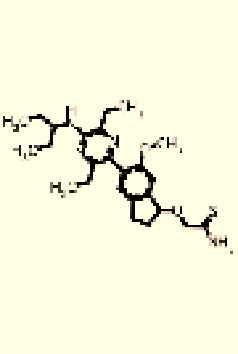 CCc1nc(-c2cc3c(cc2OC)C(OCC(N)=S)CC3)c(CC)nc1NC(CC)CC